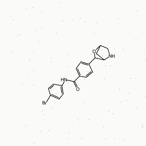 O=C(Nc1ccc(Br)cc1)c1ccc(C2OC3CNC2C3)cc1